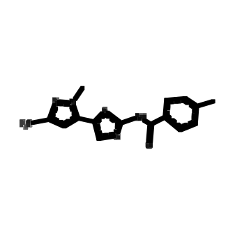 Cc1ccc(C(=O)Nc2ncc(-c3cc(C(F)(F)F)nn3C)s2)cc1